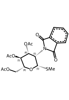 CS[C@@H]1O[C@H](COC(C)=O)[C@@H](OC(C)=O)[C@H](OC(C)=O)[C@@H]1N1C(=O)c2ccccc2C1=O